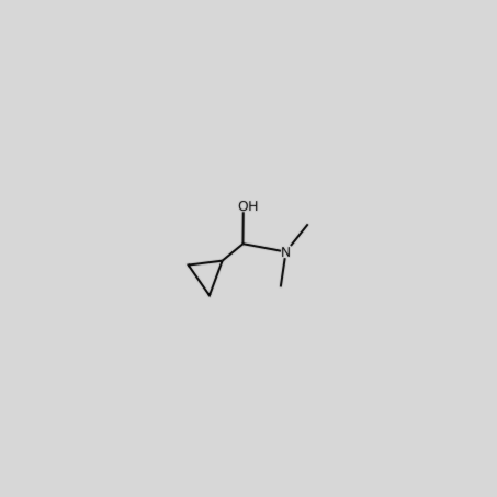 CN(C)C(O)C1CC1